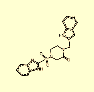 O=C1CN(S(=O)(=O)c2nc3ccccc3[nH]2)CCN1Cc1cc2cnccc2[nH]1